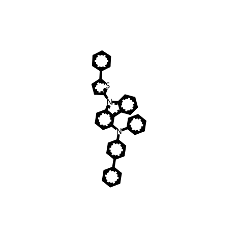 c1ccc(-c2ccc(N(c3ccccc3)c3cccc4c3c3ccccc3n4-c3ccc(-c4ccccc4)s3)cc2)cc1